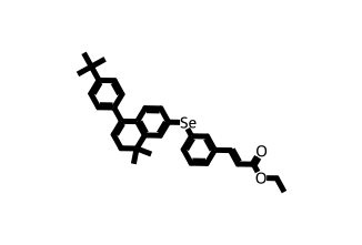 CCOC(=O)C=Cc1cccc([Se]c2ccc3c(c2)C(C)(C)CC=C3c2ccc(C(C)(C)C)cc2)c1